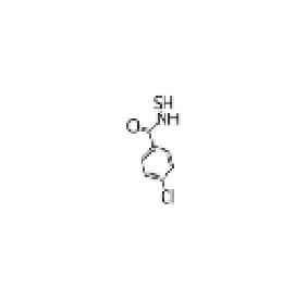 O=C(NS)c1ccc(Cl)cc1